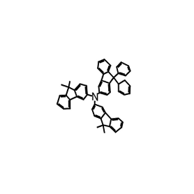 CC1(C)c2ccccc2-c2cc(N(c3ccc4c(c3)-c3ccccc3C4(C)C)c3ccc4c(c3)-c3ccccc3C4(c3ccccc3)C3C=CC=CC3)ccc21